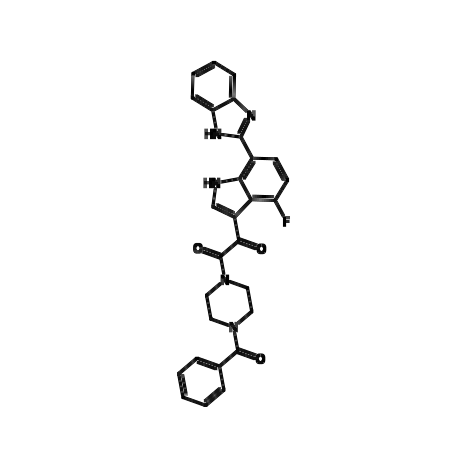 O=C(C(=O)N1CCN(C(=O)c2ccccc2)CC1)c1c[nH]c2c(-c3nc4ccccc4[nH]3)ccc(F)c12